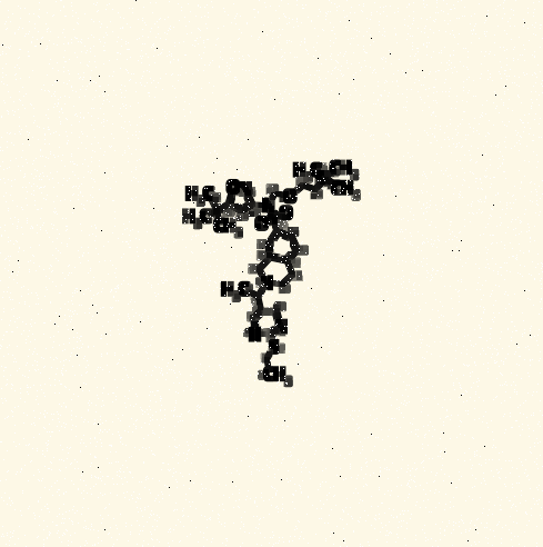 CCSc1ncc(C(C)N2CCc3ccc(S(=O)(=O)N(COCC[Si](C)(C)C)c4cc(C(C)(C)C)on4)cc3C2)cn1